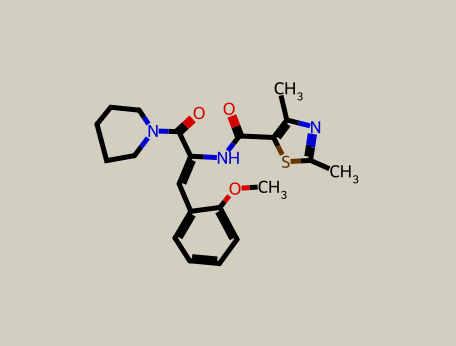 COc1ccccc1C=C(NC(=O)c1sc(C)nc1C)C(=O)N1CCCCC1